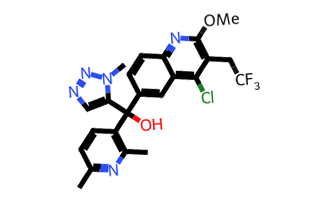 COc1nc2ccc(C(O)(c3ccc(C)nc3C)c3cnnn3C)cc2c(Cl)c1CC(F)(F)F